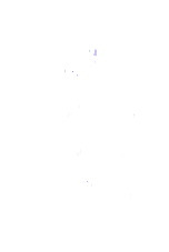 CNC(C)(C)/C=C(\C)N=N